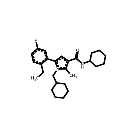 CCc1ccc(F)cc1-c1cc(C(=O)NC2CCCCC2)c(C)n1CC1CCCCC1